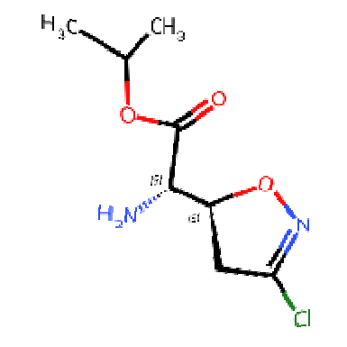 CC(C)OC(=O)[C@@H](N)[C@@H]1CC(Cl)=NO1